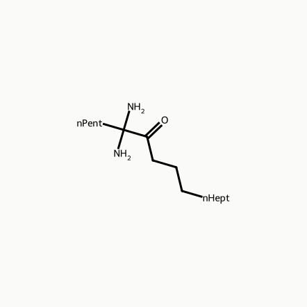 CCCCCCCCCCC(=O)C(N)(N)CCCCC